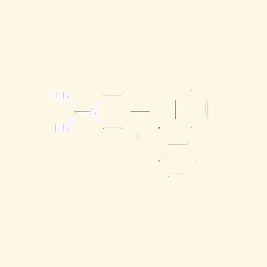 N=C(N)N1CCC(CC(O)(c2ccccc2)c2ccccc2)CC1